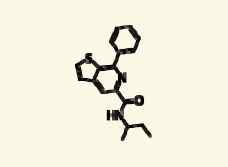 CCC(C)NC(=O)c1cc2ccsc2c(-c2ccccc2)n1